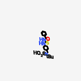 CC(C)(C)N(CC1CCC(NC(=S)NC(=O)c2ccccc2)CC1)C(=O)O